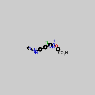 O=C(O)[C@H]1CC[C@H](Oc2nc3nc(-c4ccc(-c5ccc(-c6ncn(CCN7CCC7)n6)cc5)cc4)c(Cl)cc3[nH]2)CC1